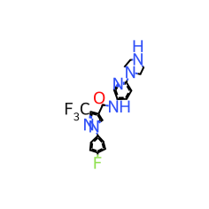 O=C(Nc1ccc(N2CCNCC2)nc1)c1cn(-c2ccc(F)cc2)nc1C(F)(F)F